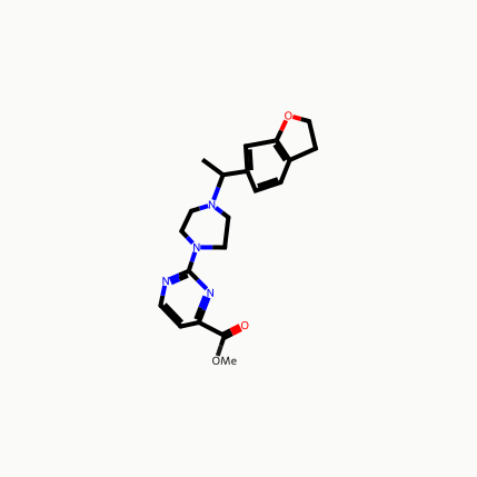 COC(=O)c1ccnc(N2CCN(C(C)c3ccc4c(c3)OCC4)CC2)n1